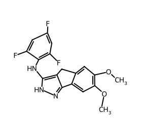 COc1cc2c(cc1OC)-c1n[nH]c(Nc3c(F)cc(F)cc3F)c1C2